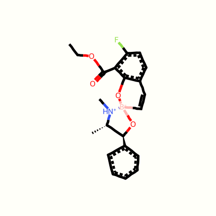 CCOC(=O)c1c(F)ccc2c1O[B-]1(C=C2)O[C@@H](c2ccccc2)[C@H](C)[NH+]1C